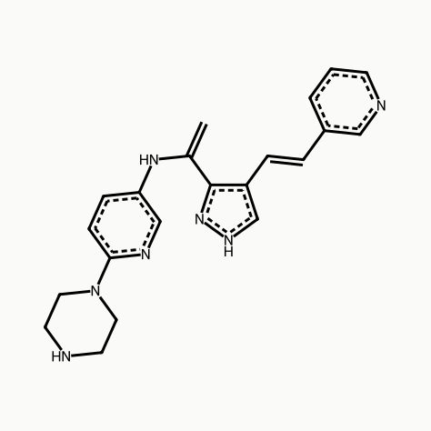 C=C(Nc1ccc(N2CCNCC2)nc1)c1n[nH]cc1/C=C/c1cccnc1